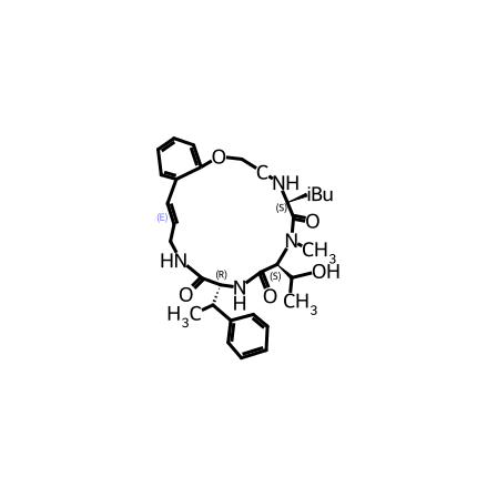 CCC(C)[C@@H]1NCCOc2ccccc2/C=C/CNC(=O)[C@@H](C(C)c2ccccc2)NC(=O)[C@H](C(C)O)N(C)C1=O